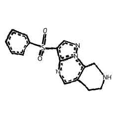 O=S(=O)(c1ccccc1)c1cnn2c3c(cnc12)CCNC3